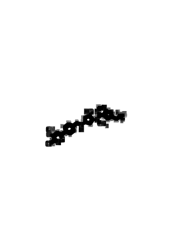 COc1cc(-c2ccc(CN[C@H]3C[C@@H](O)[C@@H](N(C)c4ncnc5sc(CC(F)(F)F)cc45)C3)cc2)nnc1Cl